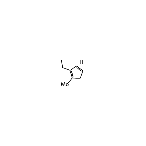 CCC1=[C]([Mo])CC=C1.[H-]